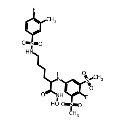 Cc1cc(S(=O)(=O)NCCCCC(Nc2cc(S(C)(=O)=O)c(F)c(S(C)(=O)=O)c2)C(=O)NO)ccc1F